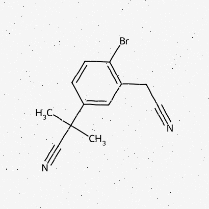 CC(C)(C#N)c1ccc(Br)c(CC#N)c1